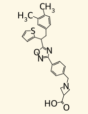 Cc1ccc(CC(c2nc(-c3ccc(CN4CC(C(=O)O)C4)cc3)no2)c2cccs2)cc1C